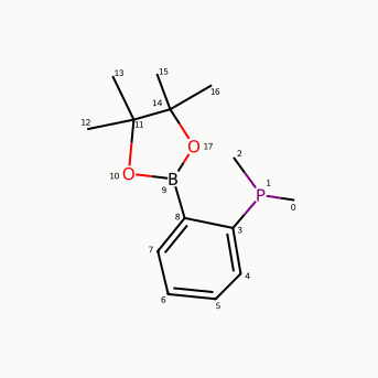 CP(C)c1ccccc1B1OC(C)(C)C(C)(C)O1